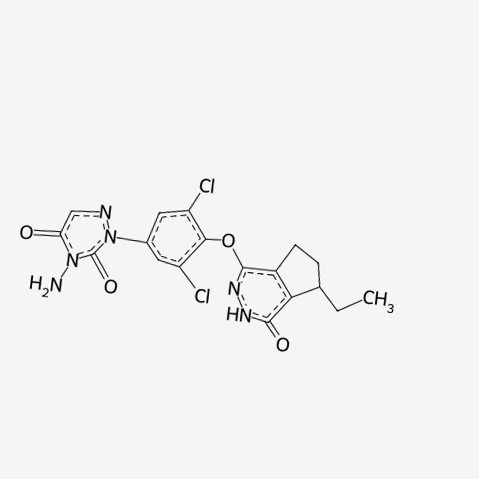 CCC1CCc2c(Oc3c(Cl)cc(-n4ncc(=O)n(N)c4=O)cc3Cl)n[nH]c(=O)c21